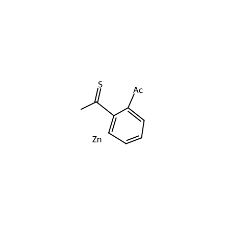 CC(=O)c1ccccc1C(C)=S.[Zn]